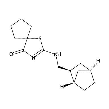 O=C1N=C(NC[C@H]2C[C@H]3CC[C@H]2C3)SC12CCCC2